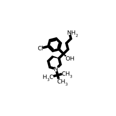 CC(C)(C)N1CCC[C@@H]([C@@](O)(CCCN)c2cccc(Cl)c2)C1